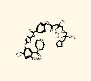 COc1cc(C)c(Sc2cnc(NC(=O)c3ccc(OC(=O)CC(C)(C)COCC(C)(C)CC4CCCC4)cc3)s2)cc1C(=O)N1CCOCC1